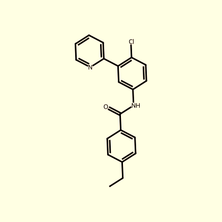 CCc1ccc(C(=O)Nc2ccc(Cl)c(-c3ccccn3)c2)cc1